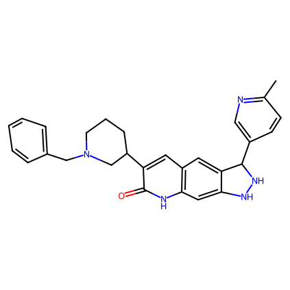 Cc1ccc(C2NNc3cc4[nH]c(=O)c(C5CCCN(Cc6ccccc6)C5)cc4cc32)cn1